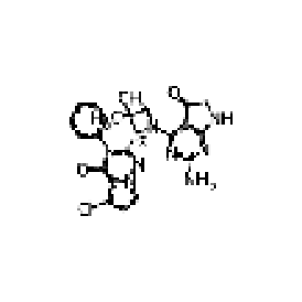 CC1(C)CN(c2nc(N)nc3c2C(=O)CN3)[C@@H]1c1nn2ccc(Cl)c2c(=O)n1-c1ccccc1